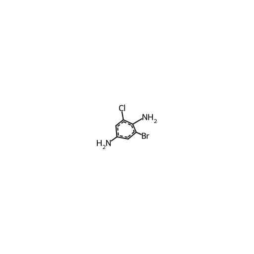 Nc1cc(Cl)c(N)c(Br)c1